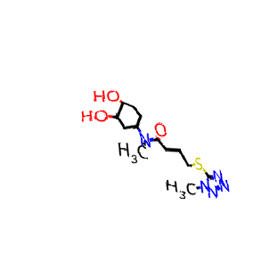 CN(C(=O)CCCSc1nnnn1C)C1CCC(O)C(O)C1